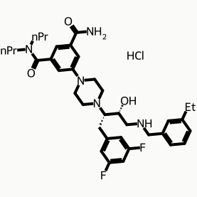 CCCN(CCC)C(=O)c1cc(C(N)=O)cc(N2CCN([C@@H](Cc3cc(F)cc(F)c3)[C@H](O)CNCc3cccc(CC)c3)CC2)c1.Cl